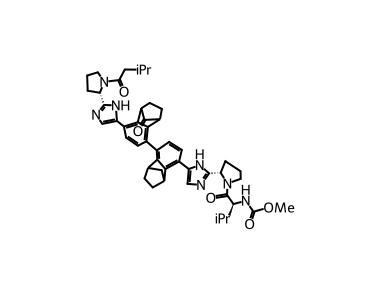 COC(=O)N[C@H](C(=O)N1CCC[C@H]1c1ncc(-c2ccc(-c3ccc(-c4cnc([C@@H]5CCCN5C(=O)CC(C)C)[nH]4)c4c3C3CCC4C3=O)c3c2C2CCC3C2)[nH]1)C(C)C